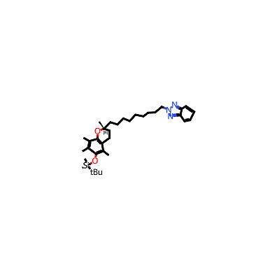 Cc1c(C)c2c(c(C)c1O[Si](C)(C)C(C)(C)C)CC[C@@](C)(CCCCCCCCCn1nc3ccccc3n1)O2